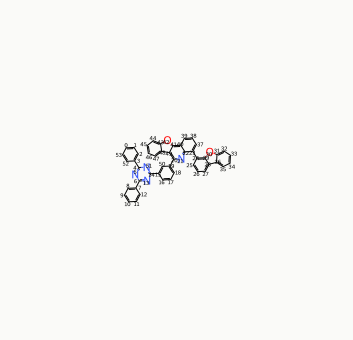 c1ccc(-c2nc(-c3ccccc3)nc(-c3cccc(-c4nc5c(-c6cccc7c6oc6ccccc67)cccc5c5oc6ccccc6c45)c3)n2)cc1